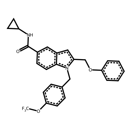 O=C(NC1CC1)c1ccc2c(c1)cc(COc1ccccc1)n2Cc1ccc(OC(F)(F)F)cc1